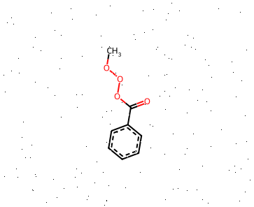 COOOC(=O)c1ccccc1